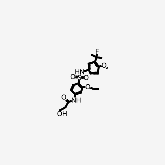 CCOc1cc(NC(=O)CCO)ccc1S(=O)(=O)Nc1ccc(OC)c(C(C)(C)F)c1